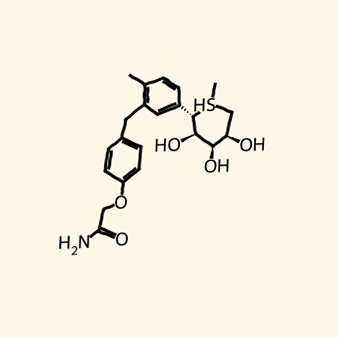 Cc1ccc([C@H]2[C@H](O)[C@H](O)[C@H](O)C[SH]2C)cc1Cc1ccc(OCC(N)=O)cc1